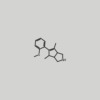 CSc1ccccc1C1=C(C)C2CNCC2C1C